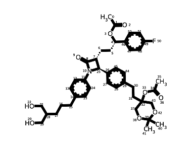 CC(=O)O[C@@H](CC[C@H]1C(=O)N(c2ccc(CCCC(CO)CO)cc2)[C@@H]1c1ccc(CCC2(OC(C)=O)COC(C)(C)OC2)cc1)c1ccc(F)cc1